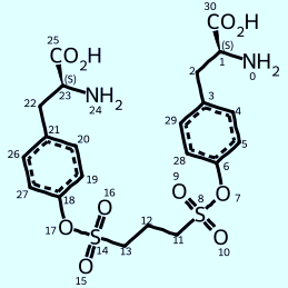 N[C@@H](Cc1ccc(OS(=O)(=O)CCCS(=O)(=O)Oc2ccc(C[C@H](N)C(=O)O)cc2)cc1)C(=O)O